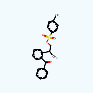 Cc1ccc(S(=O)(=O)OCC(C)c2ccccc2C(=O)c2ccccc2)cc1